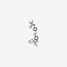 CCOC(=O)C1(c2cccc(OCc3ccc(N(C)C(=O)N(CC)CC)cc3)c2)CCOCC1